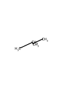 CCCCCCCCCCCCCCCCCCC(C)CC(C)CCCCCCCCCCCCCC